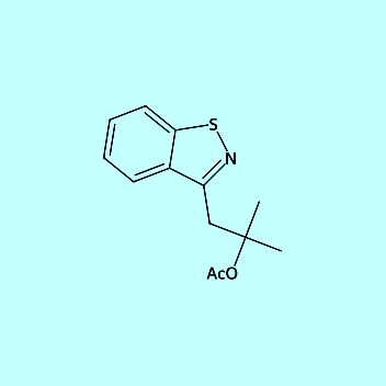 CC(=O)OC(C)(C)Cc1nsc2ccccc12